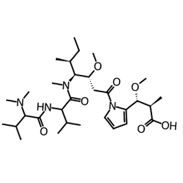 CC[C@H](C)[C@@H]([C@@H](CC(=O)n1cccc1[C@H](OC)[C@@H](C)C(=O)O)OC)N(C)C(=O)C(NC(=O)C(C(C)C)N(C)C)C(C)C